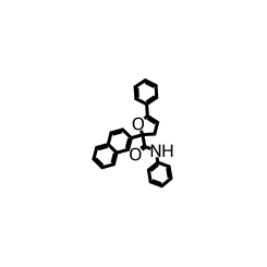 O=C(Nc1ccccc1)C1(c2ccc3ccccc3c2)CC=C(c2ccccc2)O1